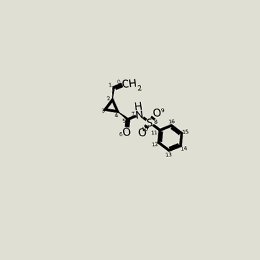 C=C[C@@H]1C[C@@H]1C(=O)NS(=O)(=O)c1ccccc1